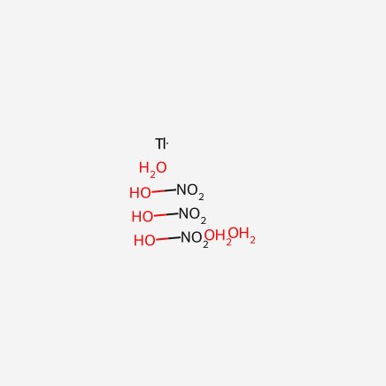 O.O.O.O=[N+]([O-])O.O=[N+]([O-])O.O=[N+]([O-])O.[Tl]